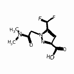 CN(C)C(=O)Cn1nc(C(=O)O)cc1C(F)F